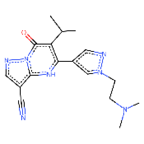 CC(C)c1c(-c2cnn(CCN(C)C)c2)[nH]c2c(C#N)cnn2c1=O